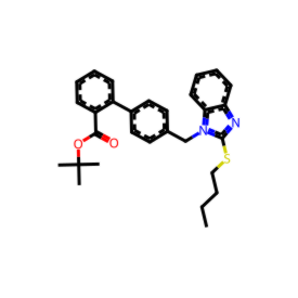 CCCCSc1nc2ccccc2n1Cc1ccc(-c2ccccc2C(=O)OC(C)(C)C)cc1